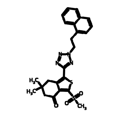 CC1(C)CC(=O)c2c(S(C)(=O)=O)sc(-c3nnn(CCc4cccc5ccccc45)n3)c2C1